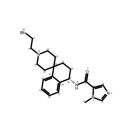 Cn1cncc1C(=O)N[C@H]1CCC2(CCN(CCC(C)(C)C)CC2)c2ccccc21